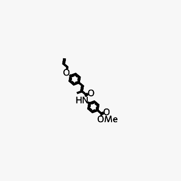 C=CCOc1ccc(/C=C(\C)C(=O)Nc2ccc(C(=O)OC)cc2)cc1